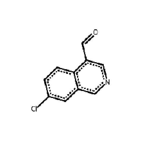 O=Cc1cncc2cc(Cl)ccc12